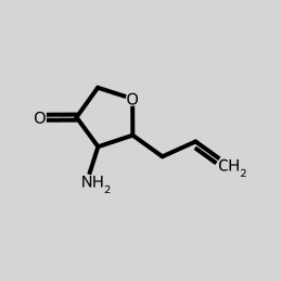 C=CCC1OCC(=O)C1N